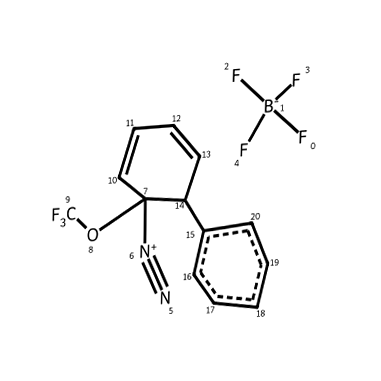 F[B-](F)(F)F.N#[N+]C1(OC(F)(F)F)C=CC=CC1c1ccccc1